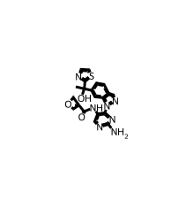 CC1(C(=O)Nc2cnc(N)nc2-n2ncc3ccc(C(C)(O)c4nccs4)cc32)COC1